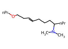 CCCOCC/C=C/CCCC(CCC)N(C)C